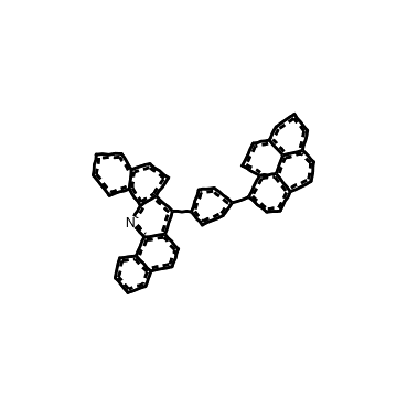 c1ccc2c(c1)ccc1c(-c3ccc(-c4ccc5ccc6cccc7ccc4c5c67)cc3)c3ccc4ccccc4c3nc12